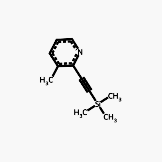 Cc1cccnc1C#C[Si](C)(C)C